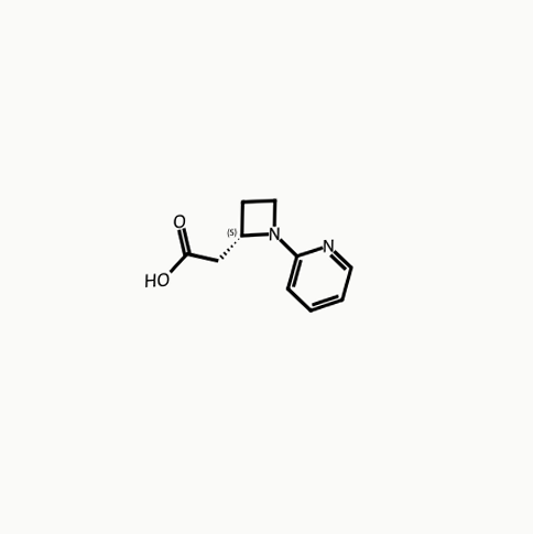 O=C(O)C[C@@H]1CCN1c1ccccn1